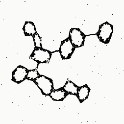 c1ccc(-c2ccc3cc(-c4nc(-n5c6ccccc6c6cc7ccc8c9ccccc9sc8c7cc65)nc5c4oc4ccccc45)ccc3c2)cc1